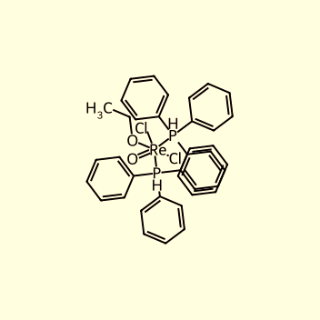 CC[O][Re](=[O])([Cl])([Cl])([PH](c1ccccc1)(c1ccccc1)c1ccccc1)[PH](c1ccccc1)(c1ccccc1)c1ccccc1